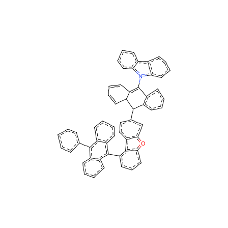 C1=CC2=C(n3c4ccccc4c4ccccc43)c3ccccc3C(c3ccc4c(c3)oc3cccc(-c5c6ccccc6c(-c6ccccc6)c6ccccc56)c34)C2C=C1